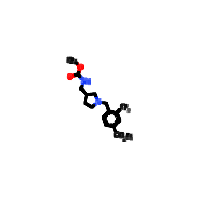 CCOC(=O)c1ccc(CN2CC[C@@H](CNC(=O)OC(C)(C)C)C2)c(C(F)(F)F)c1